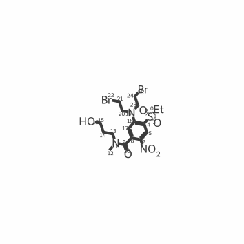 CCS(=O)(=O)c1cc([N+](=O)[O-])c(C(=O)N(C)CCCO)cc1N(CCBr)CCBr